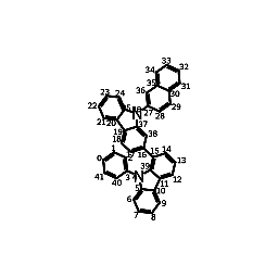 c1ccc(-n2c3ccccc3c3cccc(-c4ccc5c6ccccc6n(-c6ccc7ccccc7c6)c5c4)c32)cc1